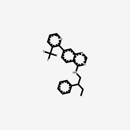 CCC(CNc1ncnc2cc(-c3ncccc3C(F)(F)F)ccc12)c1ccccc1